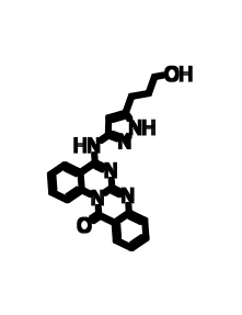 O=c1c2ccccc2nc2nc(Nc3cc(CCCO)[nH]n3)c3ccccc3n12